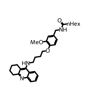 CCCCCCC(=O)NCc1ccc(OCCCCNc2c3c(nc4ccccc24)CCCC3)c(OC)c1